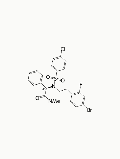 CNC(=O)[C@@H](c1ccccc1)N(CCc1ccc(Br)cc1F)S(=O)(=O)c1ccc(Cl)cc1